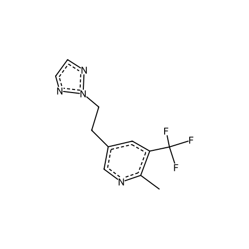 Cc1ncc(CCn2nccn2)cc1C(F)(F)F